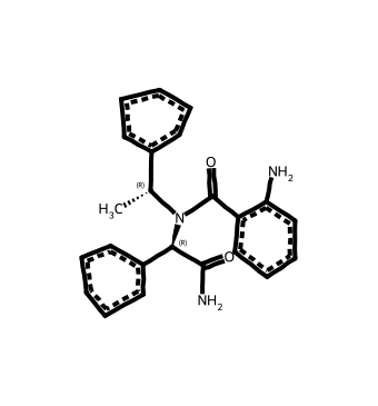 C[C@H](c1ccccc1)N(C(=O)c1ccccc1N)[C@@H](C(N)=O)c1ccccc1